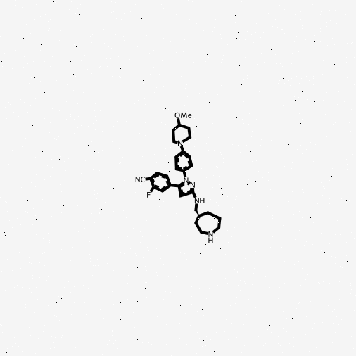 COC1CCN(c2ccc(-n3nc(NC[C@H]4CCCNCC4)cc3-c3ccc(C#N)c(F)c3)cc2)CC1